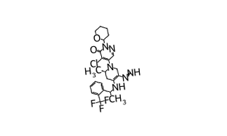 CC(NC1=C(N=N)CN(c2cnn(C3CCCCO3)c(=O)c2Cl)[C@H](C)C1)c1ccccc1C(F)(F)F